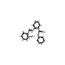 O=C(Cc1ccccc1)c1ccccc1/N=C/c1ccccc1F